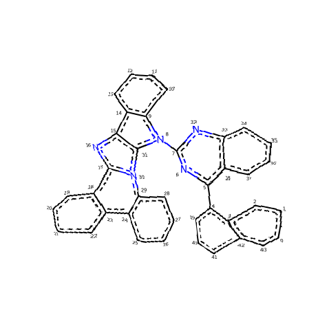 c1ccc2c(-c3nc(-n4c5ccccc5c5nc6c7ccccc7c7ccccc7n6c54)nc4ccccc34)cccc2c1